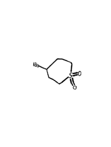 CCC(C)C1CCS(=O)(=O)CC1